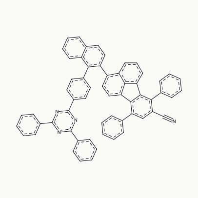 N#Cc1cc(-c2ccccc2)c2c(c1-c1ccccc1)-c1cccc3c(-c4ccc5ccccc5c4-c4ccc(-c5nc(-c6ccccc6)nc(-c6ccccc6)n5)cc4)ccc-2c13